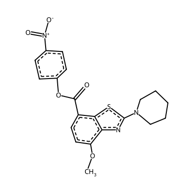 COc1ccc(C(=O)Oc2ccc([N+](=O)[O-])cc2)c2sc(N3CCCCC3)nc12